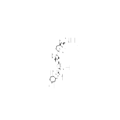 Nc1nc2ccc(-c3cn([C@@H]4CN[C@H](C(=O)Nc5ccc(Cl)cc5Cl)C4)nn3)nc2s1